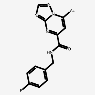 CC(=O)c1cc(C(=O)NCc2ccc(F)cc2)nc2ncnn12